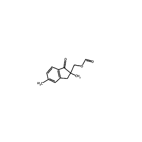 Cc1ccc2c(c1)CC(C)(COC=O)C2=O